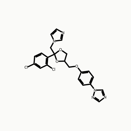 Clc1ccc(C2(Cn3ccnc3)OCC(COc3ccc(-n4cncn4)cc3)O2)c(Cl)c1